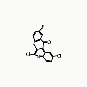 O=c1c2cc(F)ccc2sc2c(Cl)nc3ccc(Cl)cc3c12